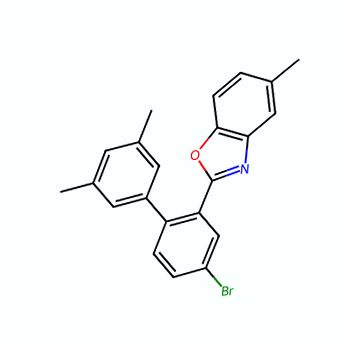 Cc1cc(C)cc(-c2ccc(Br)cc2-c2nc3cc(C)ccc3o2)c1